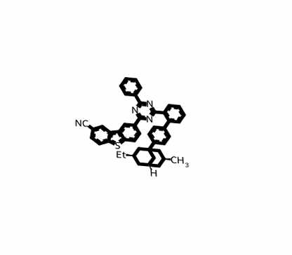 CC[C@@H]1C[C@@H]2C[C@H](C)CC(c3ccc(-c4ccccc4-c4nc(-c5ccccc5)nc(-c5ccc6sc7ccc(C#N)cc7c6c5)n4)cc3)(C1)C2